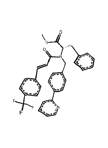 COC(=O)[C@H](Cc1ccccc1)N(Cc1ccc(-c2ccccn2)cc1)C(=O)C=Cc1ccc(C(F)(F)F)cc1